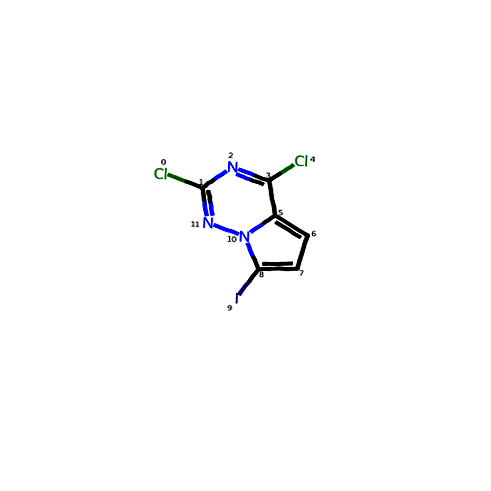 Clc1nc(Cl)c2ccc(I)n2n1